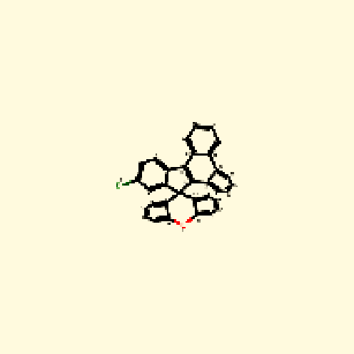 Brc1ccc2c(c1)C1(c3ccccc3Oc3ccccc31)c1c-2c2ccccc2c2ccccc12